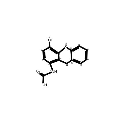 O=C(O)Nc1ccc(O)c2c1Cc1ccccc1S2